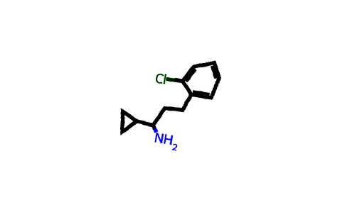 NC(CCc1ccccc1Cl)C1CC1